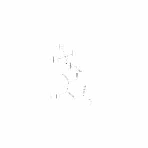 [2H]C([2H])([2H])n1cc2c(Br)cc(F)cc2n1